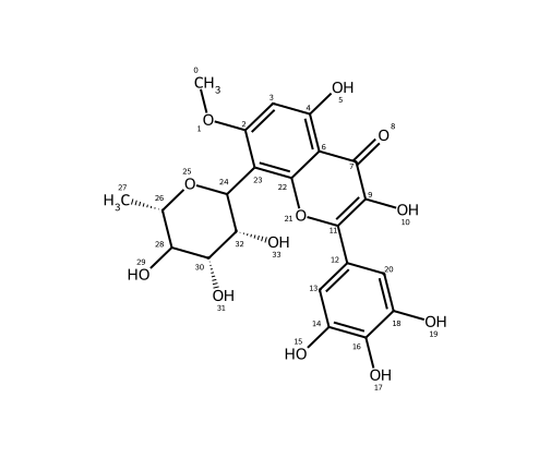 COc1cc(O)c2c(=O)c(O)c(-c3cc(O)c(O)c(O)c3)oc2c1C1O[C@@H](C)C(O)[C@@H](O)[C@H]1O